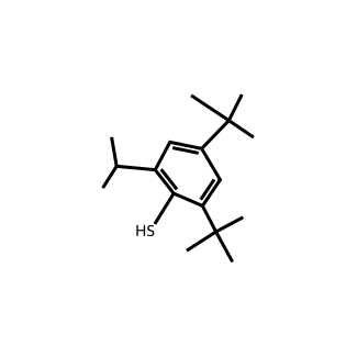 CC(C)c1cc(C(C)(C)C)cc(C(C)(C)C)c1S